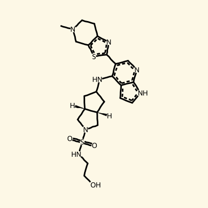 CN1CCc2nc(-c3cnc4[nH]ccc4c3NC3C[C@@H]4CN(S(=O)(=O)NCCO)C[C@@H]4C3)sc2C1